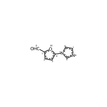 O=Cc1ccc(-n2ccnc2)o1